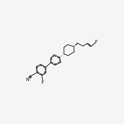 N#Cc1ccc(-c2ccc([C@H]3CC[C@H](CC/C=C/F)CC3)cc2)cc1F